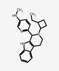 CCC1CCC1N1CCc2c([nH]c3ccccc23)C1c1ccc(NC)cn1